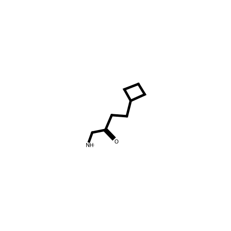 [NH]CC(=O)CCC1CCC1